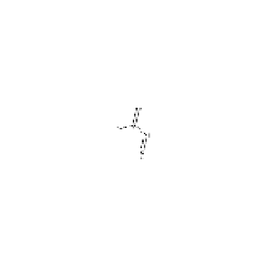 C=C(C)[C]=S